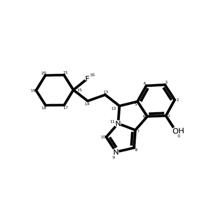 Oc1cccc2c1-c1cncn1C2CCC1(F)CCCCC1